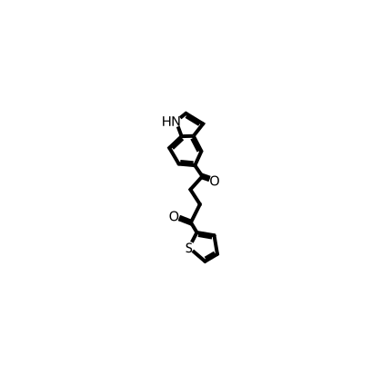 O=C(CCC(=O)c1cccs1)c1ccc2[nH]ccc2c1